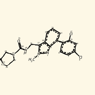 Cn1nc2c(-c3ccc(Cl)cc3Cl)cccc2c1CNC(=O)N1CCOCC1